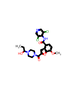 CCC(O)N1CCN(C(=O)c2cc3c(C(=O)Nc4c(Cl)cncc4Cl)ccc(OC)c3o2)CC1